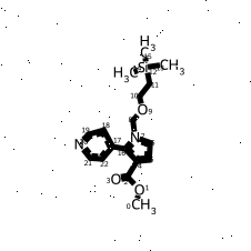 COC(=O)c1ccn(COCC[Si](C)(C)C)c1-c1ccncc1